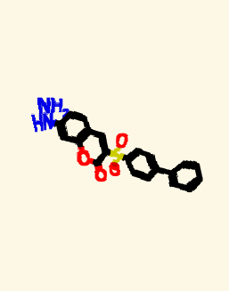 NNc1ccc2cc(S(=O)(=O)c3ccc(-c4ccccc4)cc3)c(=O)oc2c1